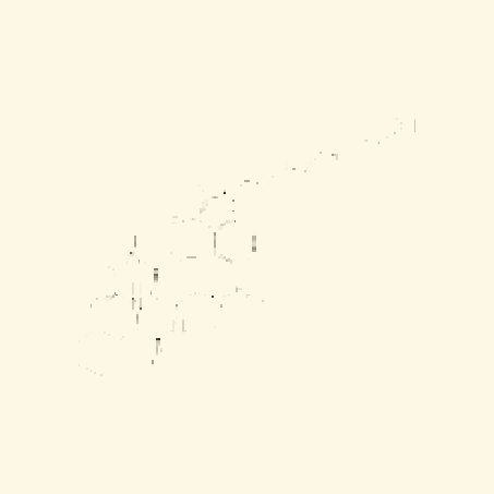 Cc1c(F)c2cc(C(=O)N3CCN(C(=O)C(NC(=O)C(C)N(C)C(=O)O)C4CCCCC4)CC3)ccc2n1CCOCCOCCO